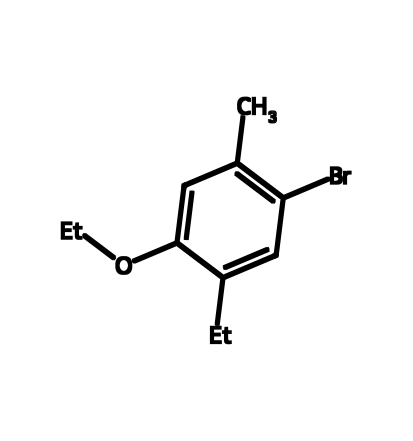 CCOc1cc(C)c(Br)cc1CC